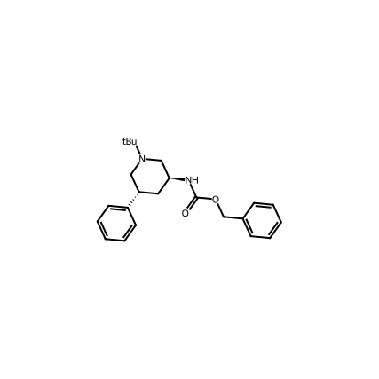 CC(C)(C)N1C[C@@H](NC(=O)OCc2ccccc2)C[C@H](c2ccccc2)C1